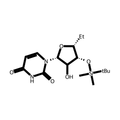 CC[C@H]1O[C@@H](n2ccc(=O)[nH]c2=O)C(O)[C@H]1O[Si](C)(C)C(C)(C)C